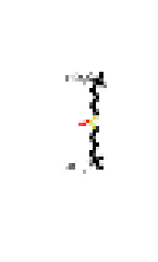 CC(C)(CCCC[S+]([O-])CCCCC(C)(C)S(=O)(=O)O)S(=O)(=O)O